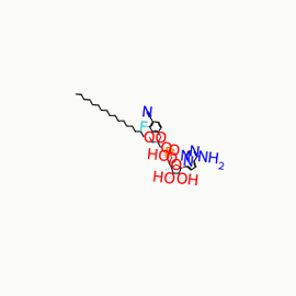 CCCCCCCCCCCCCCCCCOC[C@H](COP(=O)(O)OC[C@@]1(C)O[C@@H](c2ccc3c(N)ncnn23)[C@H](O)[C@@H]1O)Oc1ccc(C#N)c(F)c1